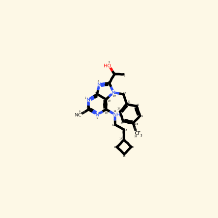 CC(O)c1nc2nc(C#N)nc(NCCC3CCC3)c2n1Cc1ccc(C(F)(F)F)cc1